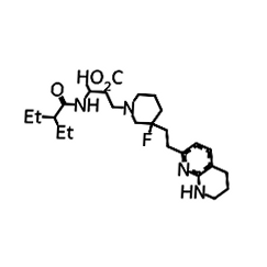 CCC(CC)C(=O)NC(CCN1CCCC(F)(CCc2ccc3c(n2)NCCC3)C1)C(=O)O